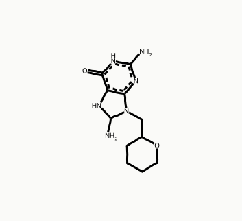 Nc1nc2c(c(=O)[nH]1)NC(N)N2CC1CCCCO1